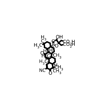 CC1(C)CC[C@]2(B3OC(O)C(CC(=O)O)(CC(=O)O)O3)CC[C@]3(C)[C@H](C(=O)C=C4[C@@]5(C)C=C(C#N)C(=O)C(C)(C)[C@@H]5CC[C@]43C)[C@@H]2C1